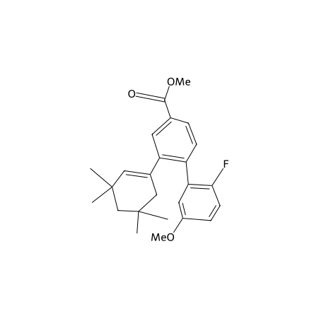 COC(=O)c1ccc(-c2cc(OC)ccc2F)c(C2=CC(C)(C)CC(C)(C)C2)c1